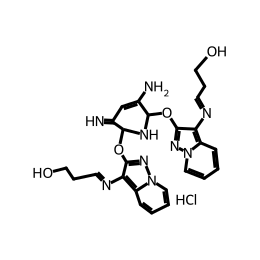 Cl.N=C1C=C(N)C(Oc2nn3ccccc3c2N=CCCO)NC1Oc1nn2ccccc2c1N=CCCO